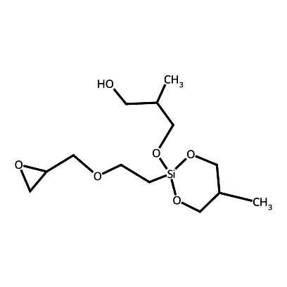 CC(CO)CO[Si]1(CCOCC2CO2)OCC(C)CO1